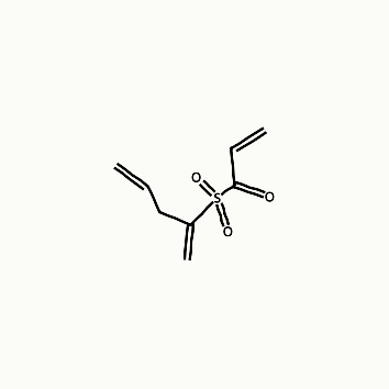 C=CCC(=C)S(=O)(=O)C(=O)C=C